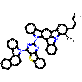 C=C/C=C\c1ccc2c3cc4c5ccccc5n(-c5nc(-n6c7ccccc7c7c8ccccc8ccc76)c6sc7ccccc7c6n5)c4c4c5ccccc5n(c2c1C)c34